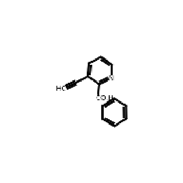 C#Cc1cccnc1C(=O)O.c1ccccc1